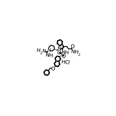 Cl.N=C(N)N1CCC[C@@H](Cn2c(NS(=O)(=O)c3ccc4cc(OCc5ccccc5)ccc4c3)c(CCC(N)=O)c3ccccc32)C1